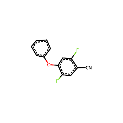 N#Cc1cc(F)c(Oc2ccccc2)cc1F